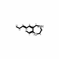 C/C=C1/OCCNC/C1=C/C=C/CC